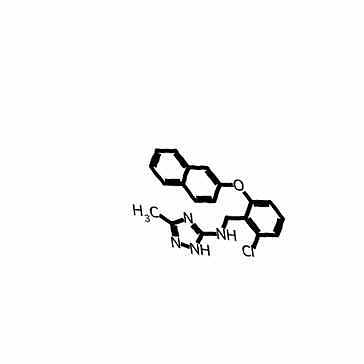 Cc1n[nH]c(NCc2c(Cl)cccc2Oc2ccc3ccccc3c2)n1